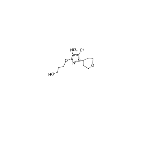 CCc1c([N+](=O)[O-])c(OCCCO)nn1C1CCOCC1